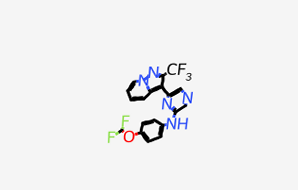 FC(F)Oc1ccc(Nc2cncc(-c3c(C(F)(F)F)nn4ccccc34)n2)cc1